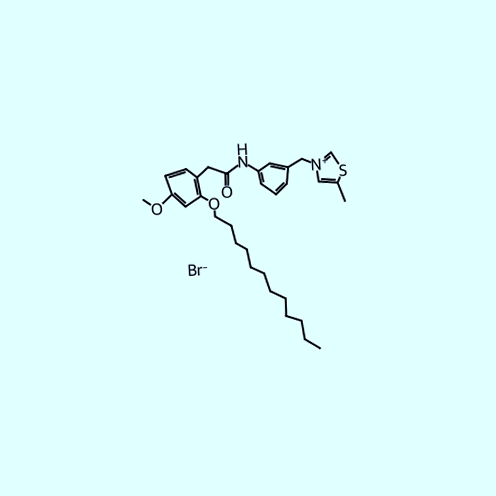 CCCCCCCCCCCCOc1cc(OC)ccc1CC(=O)Nc1cccc(C[n+]2csc(C)c2)c1.[Br-]